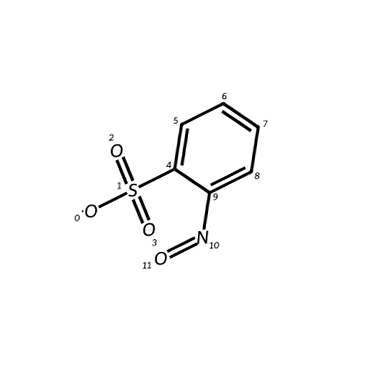 [O]S(=O)(=O)c1ccccc1N=O